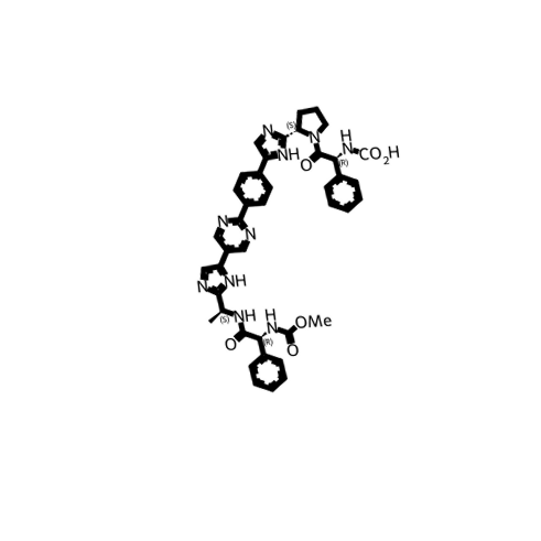 COC(=O)N[C@@H](C(=O)N[C@@H](C)c1ncc(-c2cnc(-c3ccc(-c4cnc([C@@H]5CCCN5C(=O)[C@H](NC(=O)O)c5ccccc5)[nH]4)cc3)nc2)[nH]1)c1ccccc1